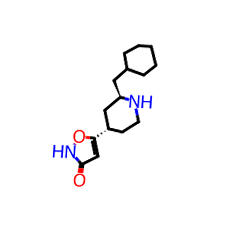 O=c1cc([C@H]2CCN[C@H](CC3CCCCC3)C2)o[nH]1